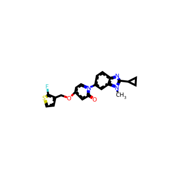 Cn1c(C2CC2)nc2ccc(-n3ccc(OCc4ccsc4F)cc3=O)cc21